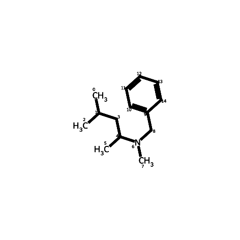 CC(C)CC(C)N(C)Cc1ccccc1